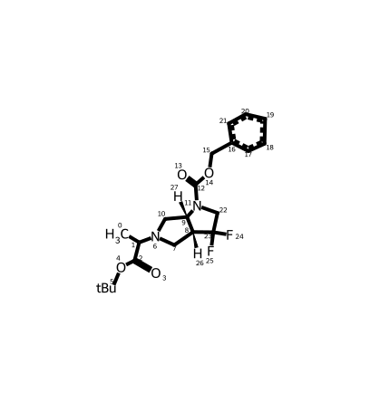 CC(C(=O)OC(C)(C)C)N1C[C@@H]2[C@H](C1)N(C(=O)OCc1ccccc1)CC2(F)F